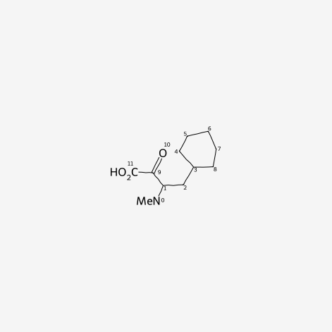 CNC(CC1CCCCC1)C(=O)C(=O)O